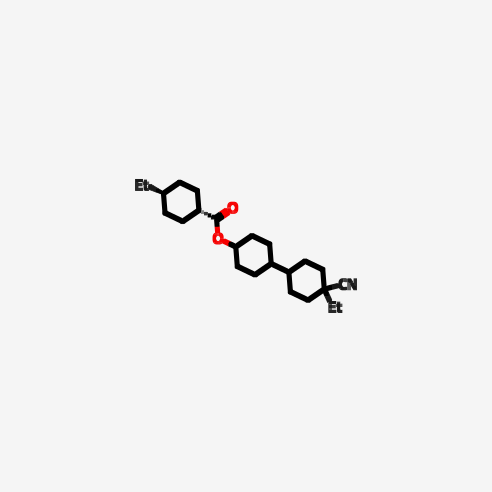 CCC1(C#N)CCC(C2CCC(OC(=O)[C@H]3CC[C@H](CC)CC3)CC2)CC1